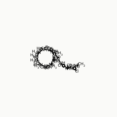 C=CC(=O)Nc1cc(Cl)cc(NC(=O)c2cnn(-c3ccc(C(=O)NCCNC(=O)CCC[C@@H](C)[C@@H](O)[C@H]4C(=O)N[C@@H](CC)C(=O)N(C)CC(=O)N(C)[C@@H](CC(C)C)C(O)N[C@@H](C(C)C)C(O)N(C)[C@@H](CC(C)C)C(=O)N[C@@H](C)C(=O)N[C@H](C)C(=O)N(C)[C@@H](CC(C)C)C(=O)N(C)[C@@H](CC(C)C)C(=O)N(C)[C@@H](C(C)C)C(=O)N4C)cc3)c2C(F)(F)F)c1